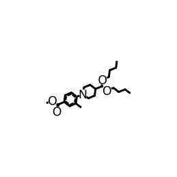 CCCCOC(OCCCC)C1CCN(c2ccc(C(=O)OC)cc2C)CC1